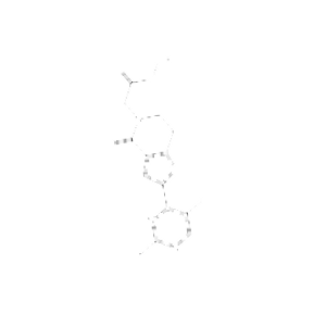 CC(C)(C)OC(=O)CN1CCc2sc(-c3nc(Cl)ncc3Cl)cc2C1=O